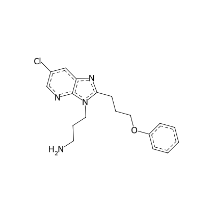 NCCCn1c(CCCOc2ccccc2)nc2cc(Cl)cnc21